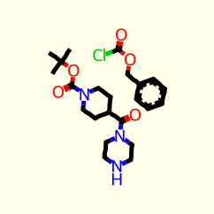 CC(C)(C)OC(=O)N1CCC(C(=O)N2CCNCC2)CC1.O=C(Cl)OCc1ccccc1